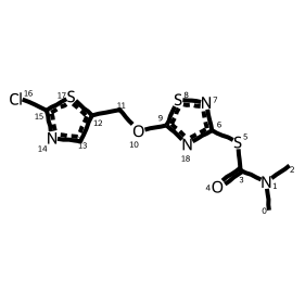 CN(C)C(=O)Sc1nsc(OCc2cnc(Cl)s2)n1